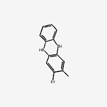 CCc1cc2c(cc1C)Bc1ccccc1B2